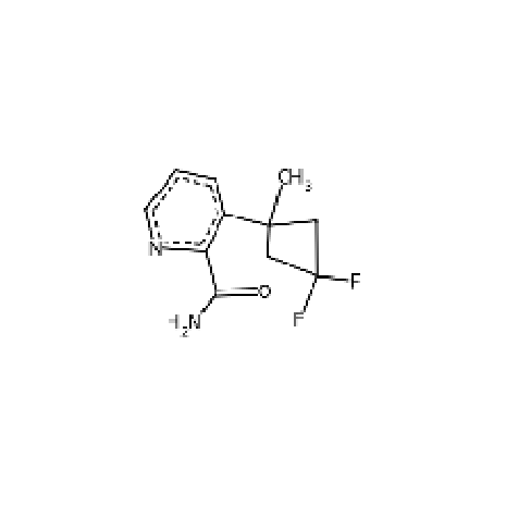 CC1(c2cccnc2C(N)=O)CC(F)(F)C1